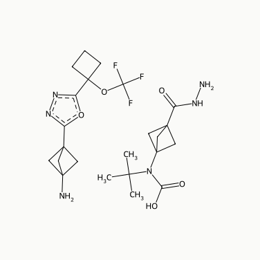 CC(C)(C)N(C(=O)O)C12CC(C(=O)NN)(C1)C2.NC12CC(c3nnc(C4(OC(F)(F)F)CCC4)o3)(C1)C2